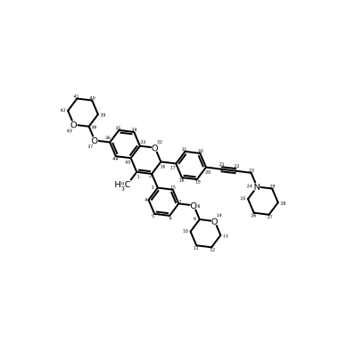 CC1=C(c2cccc(OC3CCCCO3)c2)C(c2ccc(C#CCN3CCCCC3)cc2)Oc2ccc(OC3CCCCO3)cc21